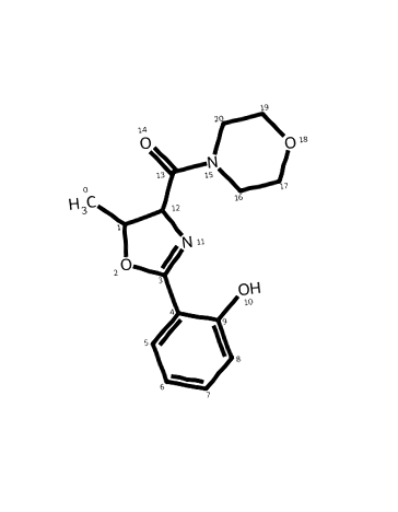 CC1OC(c2ccccc2O)=NC1C(=O)N1CCOCC1